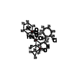 C=CC(F)C(O)NC(=O)N1C2CC(OCc3c(-c4c(Cl)cccc4Cl)noc3C3CC3)CC1C2